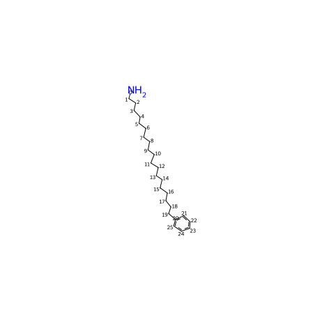 NCCCCCCCCCCCCCCCCCCCc1ccccc1